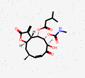 C=C1C(=O)O[C@@H]2C[C@H](C)/C=C\C(=O)[C@](C)(O)[C@@H](OC(=O)NC)[C@@H](OC(=O)CC(C)C)[C@@H]12